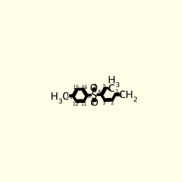 C=C/C=C\C(=C/C)S(=O)(=O)c1ccc(C)cc1